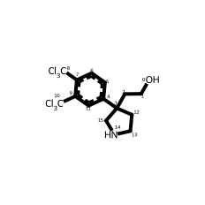 OCCC1(c2ccc(C(Cl)(Cl)Cl)c(C(Cl)(Cl)Cl)c2)CCNC1